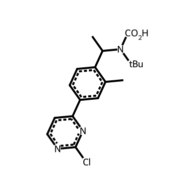 Cc1cc(-c2ccnc(Cl)n2)ccc1C(C)N(C(=O)O)C(C)(C)C